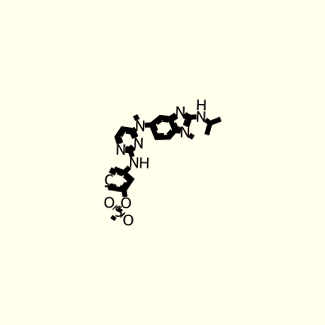 CC(C)Nc1nc2cc(N(C)c3ccnc(Nc4cccc(OS(C)(=O)=O)c4)n3)ccc2n1C